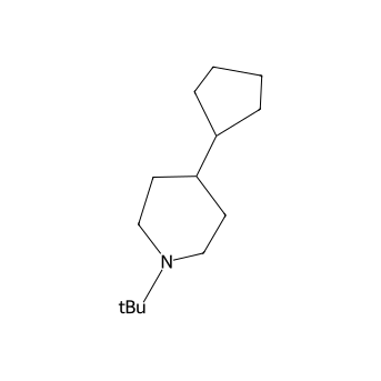 CC(C)(C)N1CCC(C2CCCC2)CC1